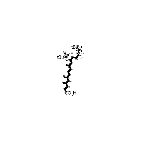 CC(=C\C=C\C(C)=C\[C@@H](O[Si](C)(C)C(C)(C)C)[C@H](C)C[C@@H](C)O[Si](C)(C)C(C)(C)C)/C=C(C)/C=C/C(=O)O